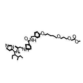 C=C(CNc1cccc(C(=O)NCc2ccc(OCCCCCOCCCOCC(=O)OC)cc2)c1)N(C)C(c1ccncn1)C(CC)C(C)CC